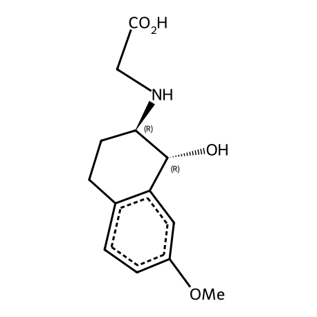 COc1ccc2c(c1)[C@@H](O)[C@H](NCC(=O)O)CC2